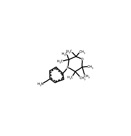 CC1(C)OC(C)(C)C(C)(C)N(c2ccc(N)cc2)C1(C)C